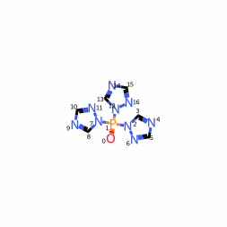 O=P(n1cncn1)(n1cncn1)n1cncn1